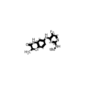 CC1Oc2ccc(Nc3nc(NC(C)(C)C)ncc3F)cc2NC1=O